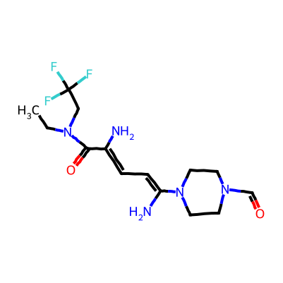 CCN(CC(F)(F)F)C(=O)/C(N)=C/C=C(\N)N1CCN(C=O)CC1